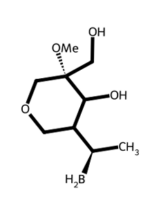 B[C@H](C)C1COC[C@](CO)(OC)C1O